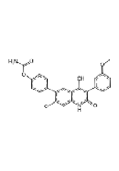 COc1cccc(-c2c(O)c3cc(-c4ccc(OC(N)=O)cc4)c(Cl)cc3[nH]c2=O)c1